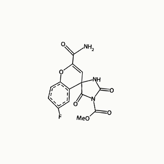 COC(=O)N1C(=O)NC2(C=C(C(N)=O)Oc3ccc(F)cc32)C1=O